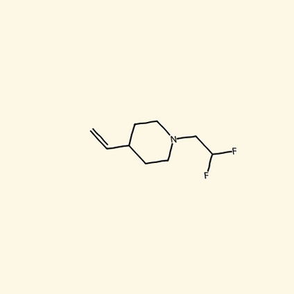 C=CC1CCN(CC(F)F)CC1